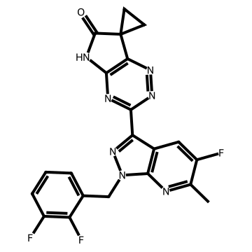 Cc1nc2c(cc1F)c(-c1nnc3c(n1)NC(=O)C31CC1)nn2Cc1cccc(F)c1F